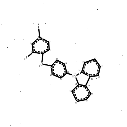 Fc1cc(I)ccc1Oc1ccc([SH]2c3ccccc3-c3ccccc32)cc1